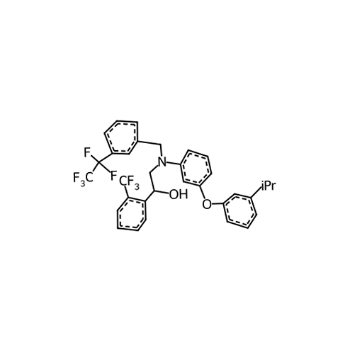 CC(C)c1cccc(Oc2cccc(N(Cc3cccc(C(F)(F)C(F)(F)F)c3)CC(O)c3ccccc3C(F)(F)F)c2)c1